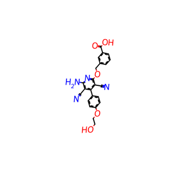 N#Cc1c(N)nc(OCc2cccc(C(=O)O)c2)c(C#N)c1-c1ccc(OCCO)cc1